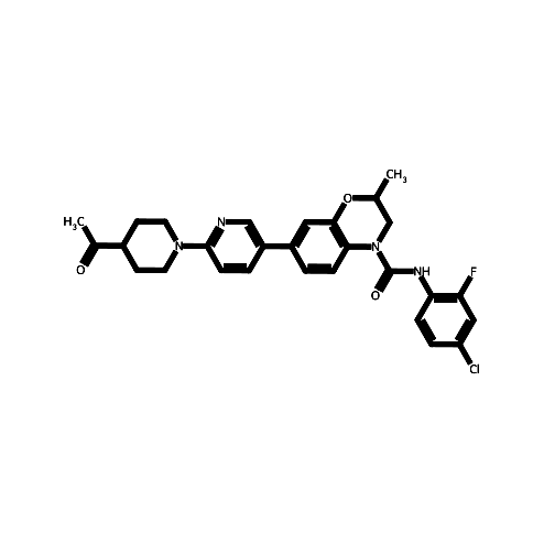 CC(=O)C1CCN(c2ccc(-c3ccc4c(c3)OC(C)CN4C(=O)Nc3ccc(Cl)cc3F)cn2)CC1